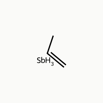 C=CC.[SbH3]